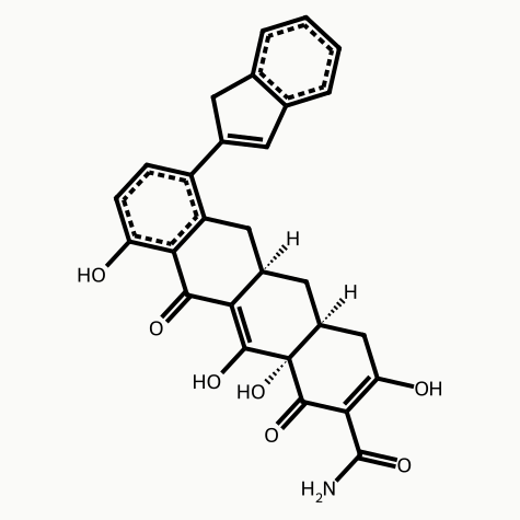 NC(=O)C1=C(O)C[C@@H]2C[C@@H]3Cc4c(C5=Cc6ccccc6C5)ccc(O)c4C(=O)C3=C(O)[C@]2(O)C1=O